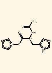 CC(=O)N[C@@H](Cc1cnc[nH]1)C(=O)On1ccnc1